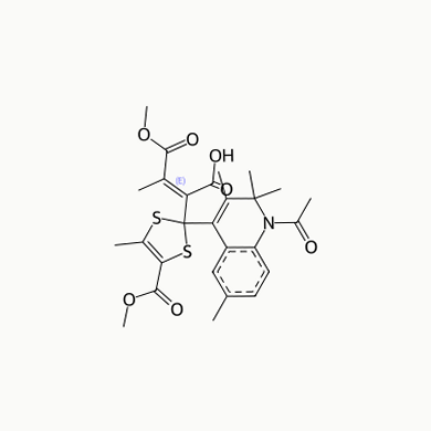 COC(=O)C1=C(C)SC(C2=C(C)C(C)(C)N(C(C)=O)c3ccc(C)cc32)(/C(C(=O)O)=C(\C)C(=O)OC)S1